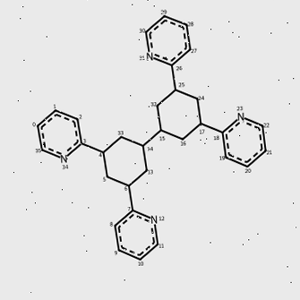 c1ccc(C2CC(c3ccccn3)CC(C3CC(c4ccccn4)CC(c4ccccn4)C3)C2)nc1